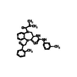 Cc1cccc(NC(=O)NC2CN(C(=O)N(C)C)c3ccccc3N(CC(=O)c3ccccc3C)C2=O)c1